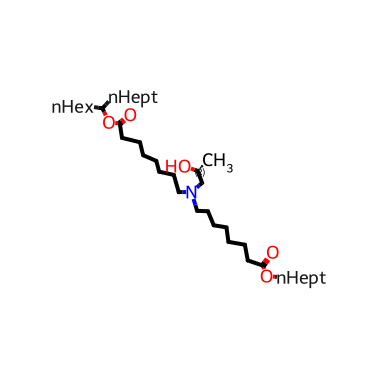 CCCCCCCOC(=O)CCCCCCCN(CCCCCCCC(=O)OC(CCCCCC)CCCCCCC)C[C@@H](C)O